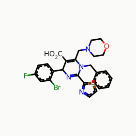 O=C(O)C1=C(CN2CCOCC2)N(Cc2ccccc2)C(c2nccs2)=NC1c1ccc(F)cc1Br